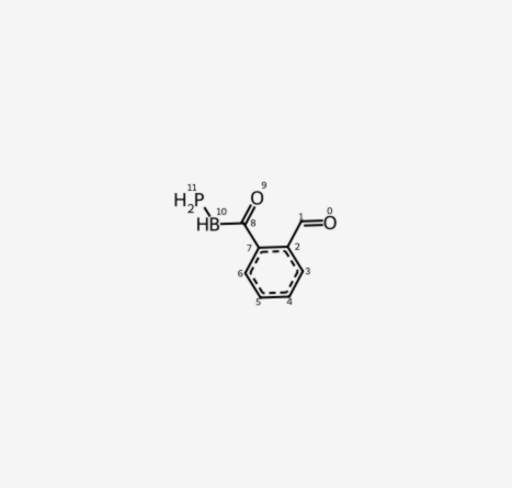 O=Cc1ccccc1C(=O)BP